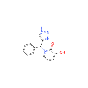 O=c1c(O)cccn1C(c1ccccc1)c1c[nH]nn1